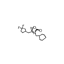 O=c1onc(CC2CCC(F)(F)C2)n1CC1CCCCC1